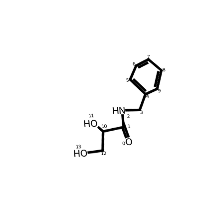 O=C(NCc1ccccc1)C(O)CO